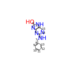 Oc1nc2nc(NCc3ccccc3)ncc2[nH]1